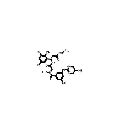 CCOC(=O)C[C@@H](NC(=O)CN(C)C(=O)c1cc(O)cc(NC2=NCC(O)CN2)c1)c1cc(Cl)cc(Br)c1O